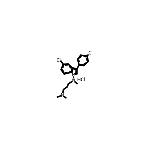 CN(C)CCCN(C)n1cc(-c2ccc(Cl)cc2)c2cc(Cl)ccc21.Cl